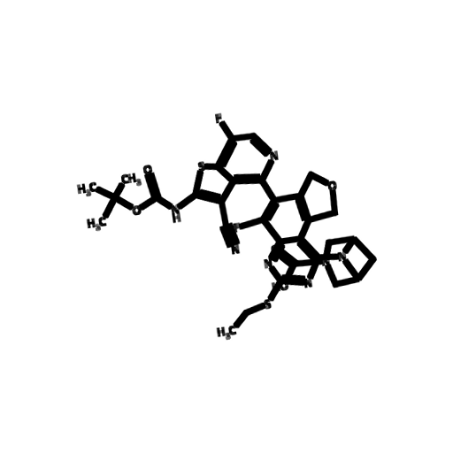 CCSc1nc(N2C3CC2CN(C(=O)O)C3)c2c3c(c(-c4ncc(F)c5sc(NC(=O)OC(C)(C)C)c(C#N)c45)c(F)c2n1)COC3